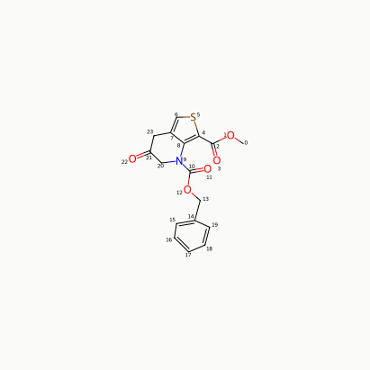 COC(=O)c1scc2c1N(C(=O)OCc1ccccc1)CC(=O)C2